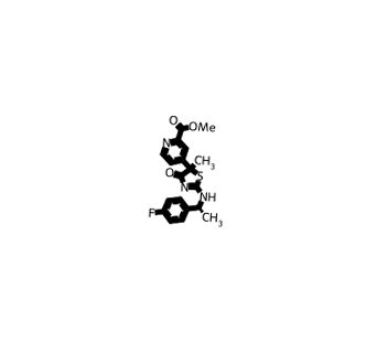 COC(=O)c1cc(C2(C)SC(N[C@@H](C)c3ccc(F)cc3)=NC2=O)ccn1